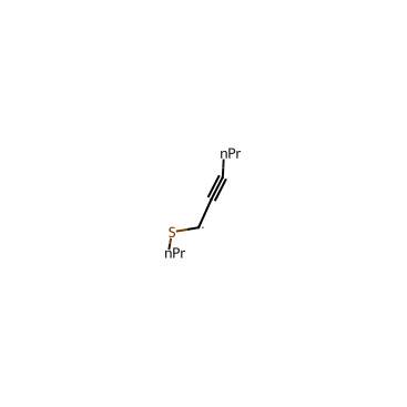 CCCC#C[CH]SCCC